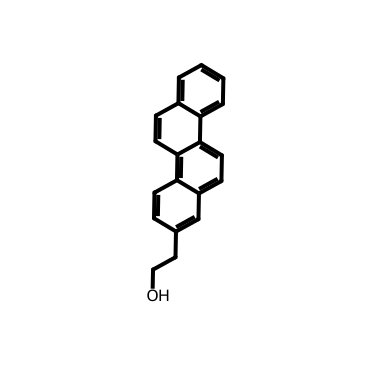 OCCc1ccc2c(ccc3c4ccccc4ccc23)c1